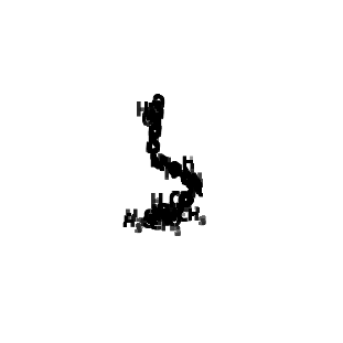 Cc1cc(-c2ncnc3[nH]c(-c4ccc(N5CCN(CC6CCN(c7ccc(N8CCC(=O)NC8=O)cc7)CC6)CC5)nc4)cc23)ccc1[C@H](C)NC(=O)c1nc(C(C)(C)C)no1